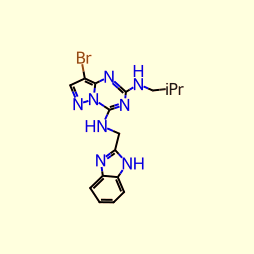 CC(C)CNc1nc(NCc2nc3ccccc3[nH]2)n2ncc(Br)c2n1